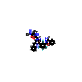 CCNC(=O)[C@@H](NC(=O)[C@H](C)NC[C@H](Cc1ccccc1)NC(=O)c1c(F)c(F)c(F)c(C(=O)N[C@H](C)c2ccccc2)c1F)C(C)C